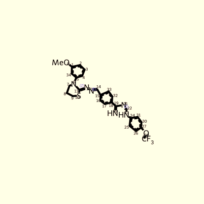 COc1cccc(N2CCCS/C2=N\N=C\c2ccc(C(=N)/N=C\Nc3ccc(OC(F)(F)F)cc3)cc2)c1